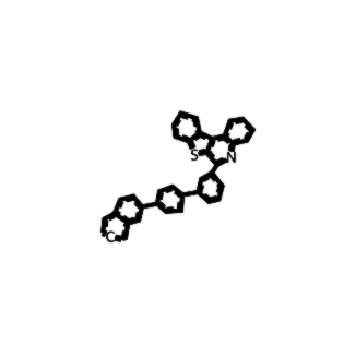 c1cc(-c2ccc(-c3ccc4ccccc4c3)cc2)cc(-c2nc3ccccc3c3c2sc2ccccc23)c1